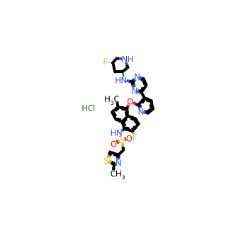 Cc1nc(CS(=O)(=O)Nc2c(F)ccc3c(Oc4ncccc4-c4ccnc(N[C@@H]5CNC[C@@H](F)C5)n4)c(C)ccc23)cs1.Cl